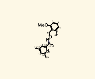 COc1cccc(F)c1CO/N=C(\C)c1cc(C)cc(C)n1